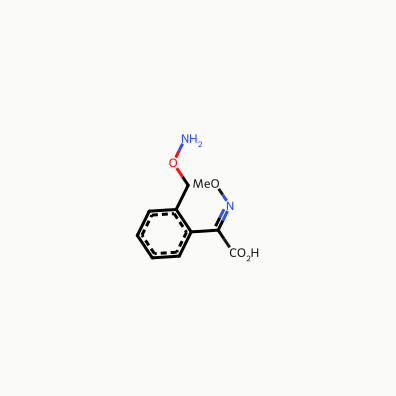 CO/N=C(/C(=O)O)c1ccccc1CON